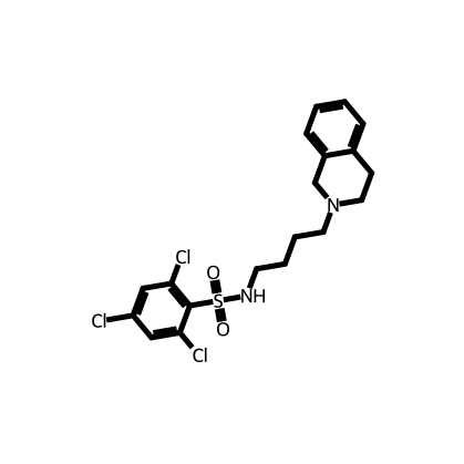 O=S(=O)(NCCCCN1CCc2ccccc2C1)c1c(Cl)cc(Cl)cc1Cl